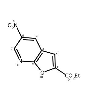 CCOC(=O)c1cc2cc([N+](=O)[O-])cnc2o1